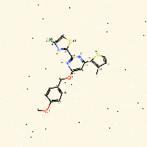 COc1ccc(COc2cc(-c3sccc3C)nc(-c3nc(Cl)cs3)n2)cc1